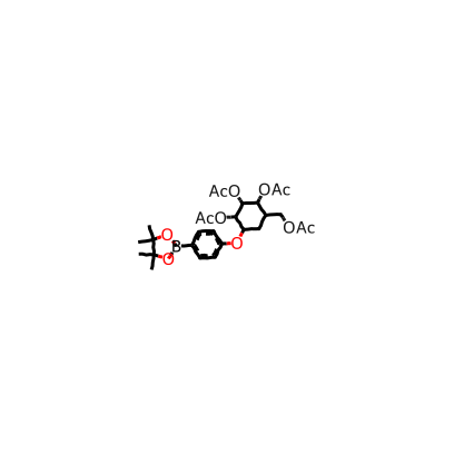 CC(=O)OCC1CC(Oc2ccc(B3OC(C)(C)C(C)(C)O3)cc2)C(OC(C)=O)C(OC(C)=O)C1OC(C)=O